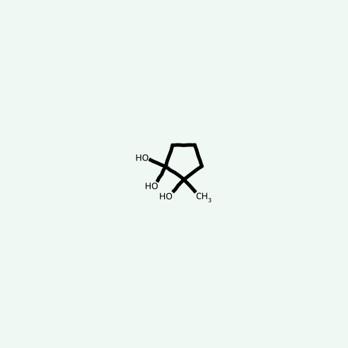 CC1(O)CCCC1(O)O